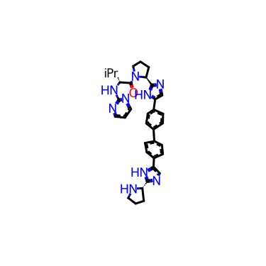 CC(C)[C@@H](Nc1ncccn1)C(=O)N1CCC[C@H]1c1ncc(-c2ccc(-c3ccc(-c4cnc([C@@H]5CCCN5)[nH]4)cc3)cc2)[nH]1